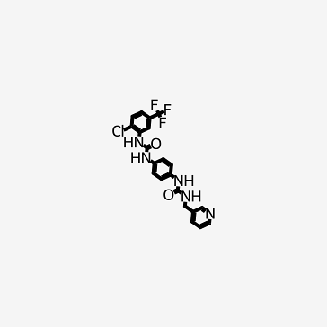 O=C(NCc1cccnc1)Nc1ccc(NC(=O)Nc2cc(C(F)(F)F)ccc2Cl)cc1